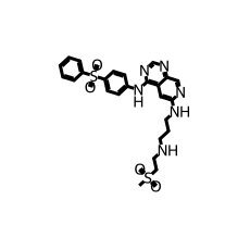 CS(=O)(=O)CCNCCCNc1cc2c(Nc3ccc(S(=O)(=O)c4ccccc4)cc3)ncnc2cn1